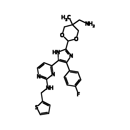 CC1(CN)COC(c2nc(-c3ccc(F)cc3)c(-c3ccnc(NCc4cccs4)n3)[nH]2)OC1